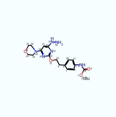 CC(C)(C)OC(=O)Nc1ccc(CCOc2nc(NN)cc(N3CCOCC3)n2)cc1